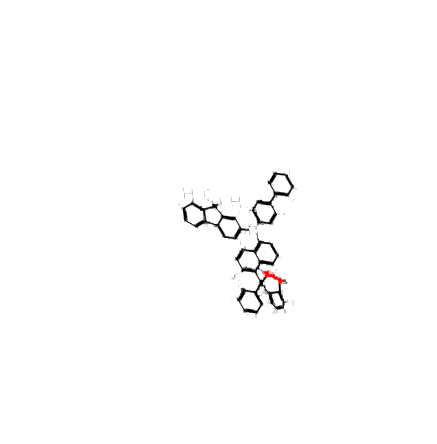 CC1(C)c2ccccc2-c2ccc(N(c3ccc(-c4ccccc4)cc3)c3cccc4c5c(ccc34)Sc3ccccc3C53c4ccccc4-c4ccccc43)cc21